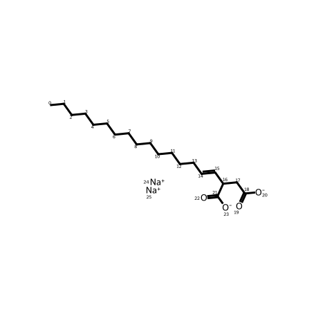 CCCCCCCCCCCCCCC=CC(CC(=O)[O-])C(=O)[O-].[Na+].[Na+]